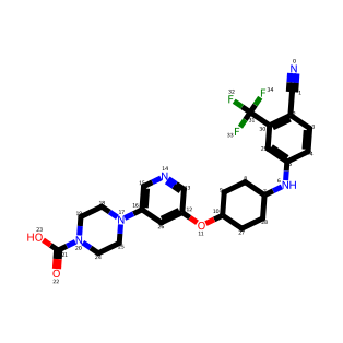 N#Cc1ccc(NC2CCC(Oc3cncc(N4CCN(C(=O)O)CC4)c3)CC2)cc1C(F)(F)F